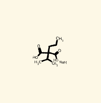 CCCC(C(=O)O)(C(=O)O)C(C)C.[NaH]